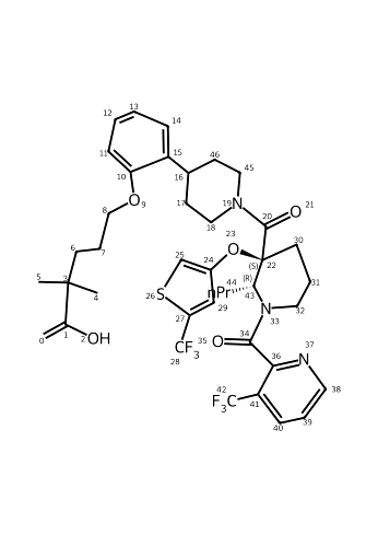 C=C(O)C(C)(C)CCCOc1ccccc1C1CCN(C(=O)[C@]2(Oc3csc(C(F)(F)F)c3)CCCN(C(=O)c3ncccc3C(F)(F)F)[C@@H]2CCC)CC1